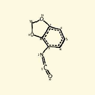 O=C=Nc1cccc2c1OCO2